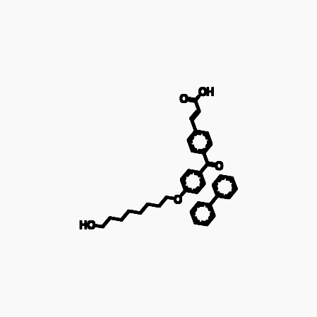 O=C(O)/C=C/c1ccc(C(=O)c2ccc(OCCCCCCCCO)cc2)cc1.c1ccc(-c2ccccc2)cc1